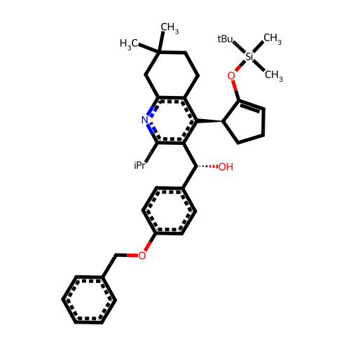 CC(C)c1nc2c(c([C@@H]3CCC=C3O[Si](C)(C)C(C)(C)C)c1[C@H](O)c1ccc(OCc3ccccc3)cc1)CCC(C)(C)C2